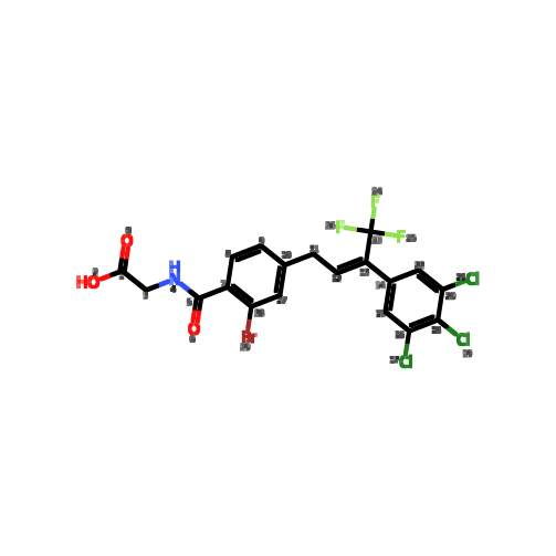 O=C(O)CNC(=O)c1ccc(CC=C(c2cc(Cl)c(Cl)c(Cl)c2)C(F)(F)F)cc1Br